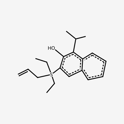 C=CCS(CC)(CC)c1cc2ccccc2c(C(C)C)c1O